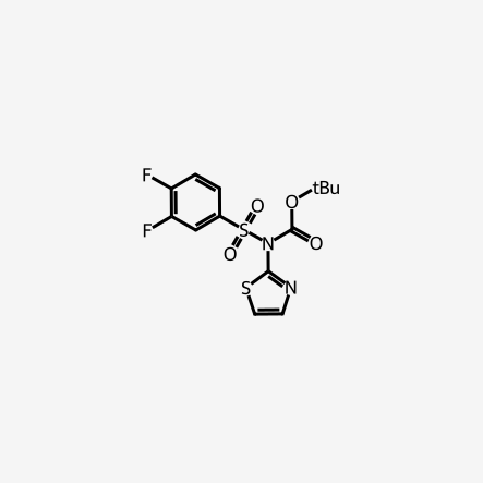 CC(C)(C)OC(=O)N(c1nccs1)S(=O)(=O)c1ccc(F)c(F)c1